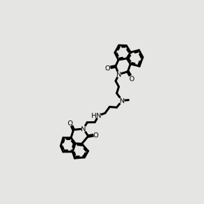 CN(CCCNCCN1C(=O)c2cccc3cccc(c23)C1=O)CCCN1C(=O)c2cccc3cccc(c23)C1=O